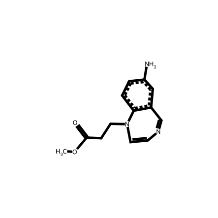 COC(=O)CCN1C=CN=Cc2cc(N)ccc21